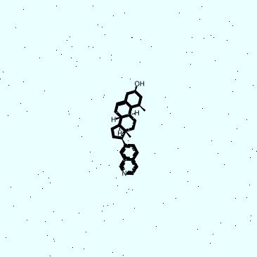 C[C@@H]1C[C@H](O)CC2=CC[C@@H]3[C@H](CC[C@]4(C)[C@@H](c5ccc6ccncc6c5)CC[C@@H]34)C21